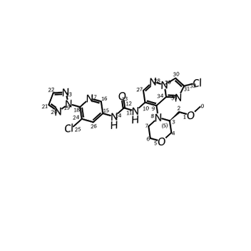 COC[C@H]1COCCN1c1c(NC(=O)Nc2cnc(-n3nccn3)c(Cl)c2)cnn2cc(Cl)nc12